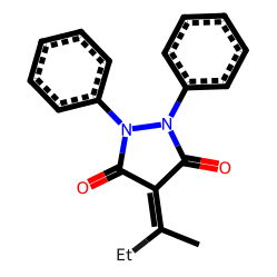 CCC(C)=C1C(=O)N(c2ccccc2)N(c2ccccc2)C1=O